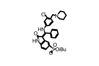 CC(C)COS(=O)(=O)c1ccc2c(c1)/C(=C(/Nc1ccc(CN3CCCCC3)c(Cl)c1)c1ccccc1)C(=O)N2